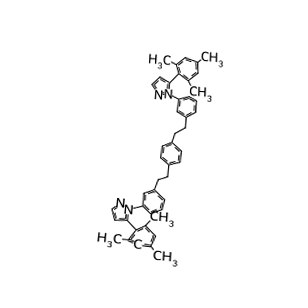 Cc1cc(C)c(-c2ccnn2-c2cccc(CCc3ccc(CCc4cccc(-n5nccc5-c5c(C)cc(C)cc5C)c4)cc3)c2)c(C)c1